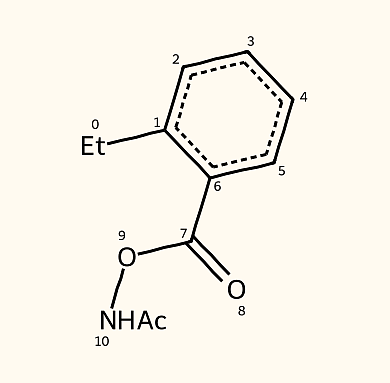 CCc1ccccc1C(=O)ONC(C)=O